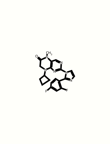 CN1C(=O)CN(C2CCC2)c2nc(-n3ccnc3-c3ccc(F)cc3F)ncc21